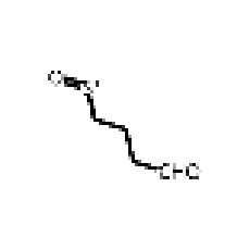 O=CCCC[S+]=O